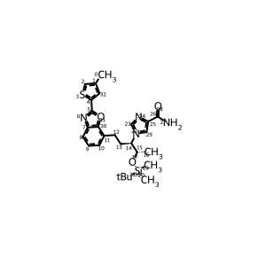 Cc1csc(-c2nc3cccc(CC[C@H]([C@H](C)O[Si](C)(C)C(C)(C)C)n4cnc(C(N)=O)c4)c3o2)c1